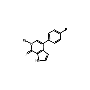 CCn1cc(-c2ccc(F)cc2)c2cc[nH]c2c1=O